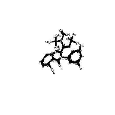 CC(C)(C)N(C(=O)O)C(CC(F)(F)F)c1nc2cccc(Cl)c2c(=O)n1-c1cc(F)cc(F)c1